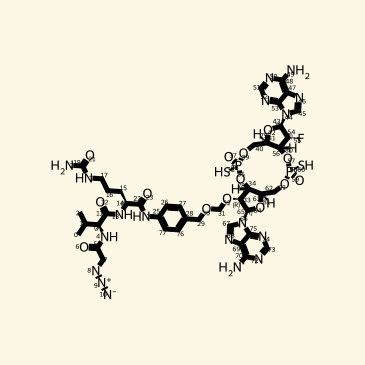 CC(C)[C@H](NC(=O)CN=[N+]=[N-])C(=O)N[C@@H](CCCNC(N)=O)C(=O)Nc1ccc(COCO[C@@H]2[C@@H]3O[P@](=O)(S)OC[C@H]4O[C@@H](n5cnc6c(N)ncnc65)[C@H](F)[C@@H]4O[P@](=O)(S)OC[C@H]3O[C@H]2n2cnc3c(N)ncnc32)cc1